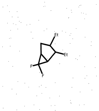 CCC1CC2C(C1CC)C2(F)F